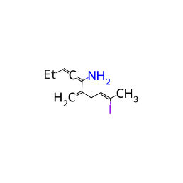 C=C(C/C=C(/C)I)C(N)=C=CCC